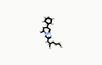 C=CC(CC(C)NCC(=C)CC(C)CCCC)c1ccccc1